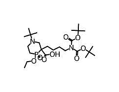 CCOP1(=O)CCN(C(C)(C)C)CC1(CCCCN(C(=O)OC(C)(C)C)C(=O)OC(C)(C)C)C(=O)O